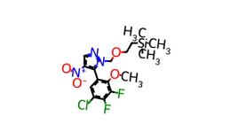 COc1c(-c2c([N+](=O)[O-])cnn2COCC[Si](C)(C)C)cc(Cl)c(F)c1F